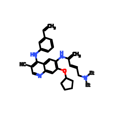 C=Cc1cccc(Nc2c(C#N)cnc3cc(OC4CCCC4)c(NC(=C)/C=C/CN(CC)CC)cc23)c1